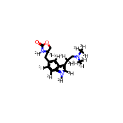 [2H]c1c(C[C@@]2([2H])COC(=O)N2[2H])c([2H])c2c(C([2H])([2H])CN(C([2H])([2H])[2H])C([2H])([2H])[2H])c([2H])n([2H])c2c1[2H]